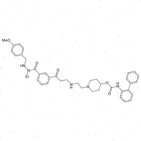 CCN(NCc1ccc(OC)cc1)C(=O)c1cccc(C(=O)CCNCCN2CCC(OC(=O)Nc3ccccc3-c3ccccc3)CC2)c1